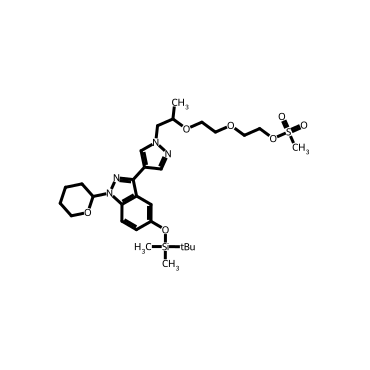 CC(Cn1cc(-c2nn(C3CCCCO3)c3ccc(O[Si](C)(C)C(C)(C)C)cc23)cn1)OCCOCCOS(C)(=O)=O